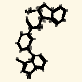 Cc1c[nH]c2nccc(N3C=C(C(=O)N[C@@H]4c5ccccc5C[C@H]4N)SCC3)c12